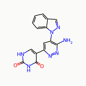 Nc1nnc(-c2c[nH]c(=O)[nH]c2=O)cc1-n1ncc2ccccc21